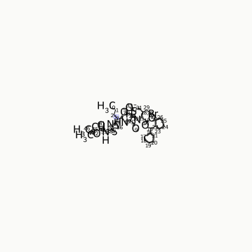 CC/C=C(\C(=O)N[C@@H]1C(=O)N2C(C(=O)OC(c3ccccc3)c3ccccc3)=C(CBr)C[S+]([O-])[C@@H]12)c1csc(NC(=O)OC(C)(C)C)n1